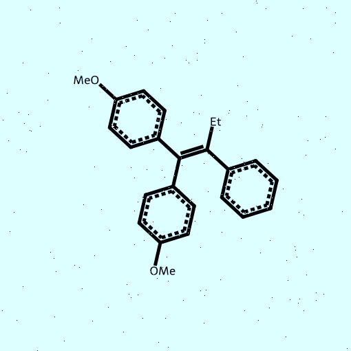 CCC(=C(c1ccc(OC)cc1)c1ccc(OC)cc1)c1ccccc1